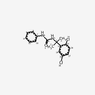 CC(C)(NC(=O)Nc1ccccc1)c1cc(Cl)ccc1Cl